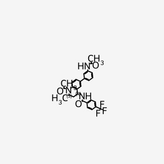 CC(=O)Nc1cccc(-c2ccc3c(c2)[C@H](NC(=O)c2ccc(C(F)(F)F)cc2)C[C@H](C)N3C(C)=O)c1